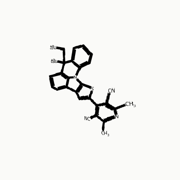 Cc1nc(C)c(C#N)c(-c2cc3c4cccc5c4n(c3s2)-c2ccccc2C5(CC(C)(C)C)C(C)(C)C)c1C#N